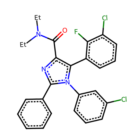 CCN(CC)C(=O)c1nc(-c2ccccc2)n(-c2cccc(Cl)c2)c1-c1cccc(Cl)c1F